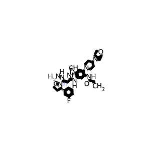 C=CC(=O)Nc1cc(NC(=N)/C=C(\NN)N2OCC[C@@H]2c2cccc(F)c2)c(OC)cc1N1CCC(N2CC3CC2CO3)CC1